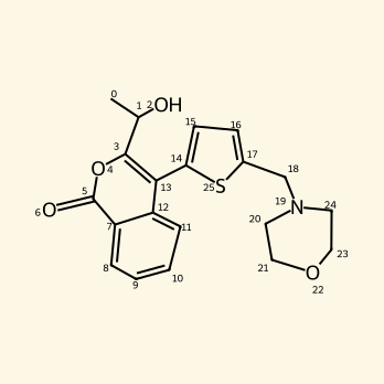 CC(O)c1oc(=O)c2ccccc2c1-c1ccc(CN2CCOCC2)s1